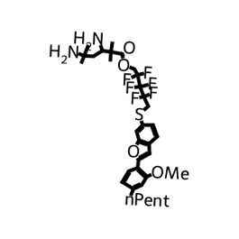 CCCCCc1ccc(-c2cc3ccc(SCC(F)(F)C(F)(F)C(F)(F)COC(=O)C(C)(C)C(N)CC(C)(C)N)cc3o2)c(OC)c1